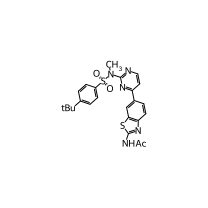 CC(=O)Nc1nc2ccc(-c3ccnc(N(C)S(=O)(=O)c4ccc(C(C)(C)C)cc4)n3)cc2s1